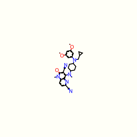 COc1cc(OC)cc(N(CC2CC2)C2CCC(N(C)c3c(C#N)c(=O)n(C)c4ccc(C#N)nc34)CC2)c1